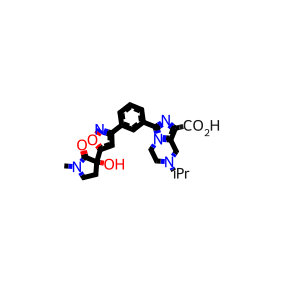 CC(C)N1CCn2c(-c3cccc(-c4cc(C5(O)CCN(C)C5=O)on4)c3)nc(C(=O)O)c2C1